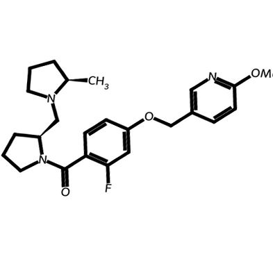 COc1ccc(COc2ccc(C(=O)N3CCC[C@H]3CN3CCC[C@H]3C)c(F)c2)cn1